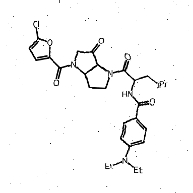 CCN(CC)c1ccc(C(=O)NC(CC(C)C)C(=O)N2CCC3C2C(=O)CN3C(=O)c2ccc(Cl)o2)cc1